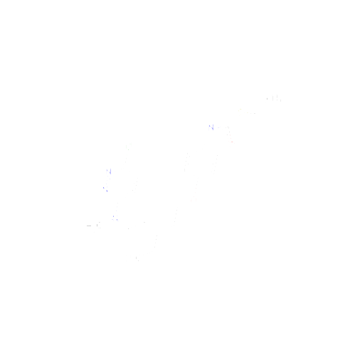 CCSc1nc2ccc(OCCC(CC)CCN(C)c3ccc(Cl)nn3)cc2o1